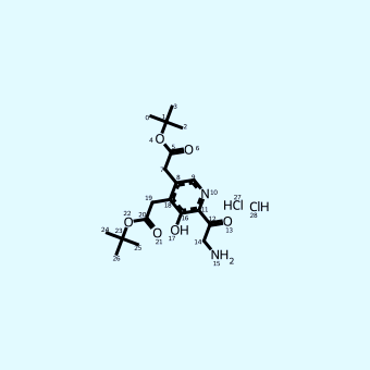 CC(C)(C)OC(=O)Cc1cnc(C(=O)CN)c(O)c1CC(=O)OC(C)(C)C.Cl.Cl